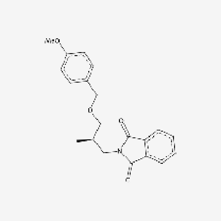 COc1ccc(COC[C@H](C)CN2C(=O)c3ccccc3C2=O)cc1